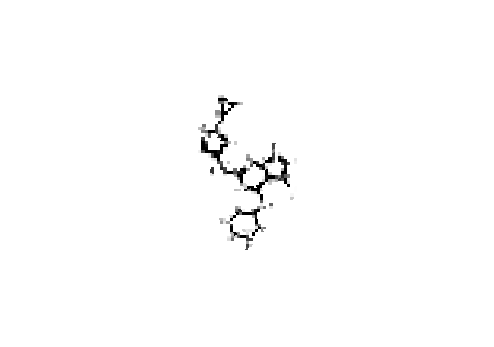 Clc1n[nH]c2nc(Nc3cnn(C4CC4)c3)nc(OC3CCCNC3)c12